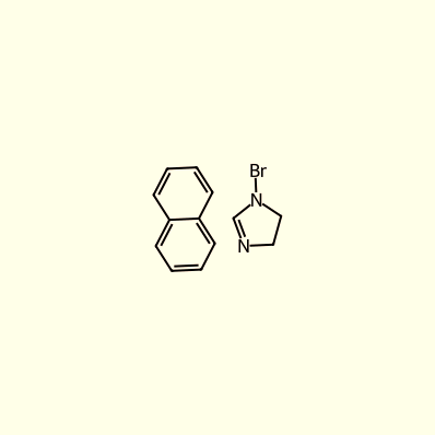 BrN1C=NCC1.c1ccc2ccccc2c1